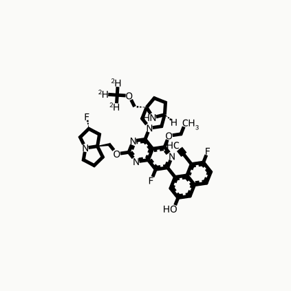 [2H]C([2H])([2H])OC[C@@]12CC[C@@H](CN(c3nc(OC[C@@]45CCCN4C[C@H](F)C5)nc4c(F)c(-c5cc(O)cc6ccc(F)c(C#C)c56)nc(OCC)c34)C1)N2